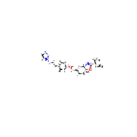 CC(C)c1nc2cc(COc3ccc(CCCn4ccnc4)cc3)ccc2o1